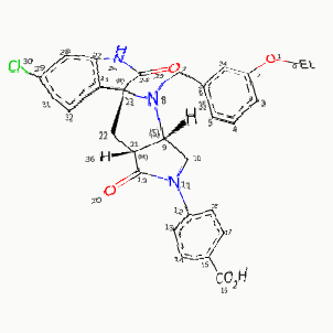 CCOc1cccc(CN2[C@@H]3CN(c4ccc(C(=O)O)cc4)C(=O)[C@@H]3C[C@@]23C(=O)Nc2cc(Cl)ccc23)c1